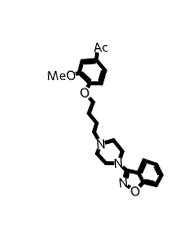 COc1cc(C(C)=O)ccc1OCCCCN1CCN(c2noc3ccccc23)CC1